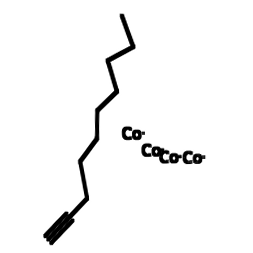 C#CCCCCCCCC.[Co].[Co].[Co].[Co]